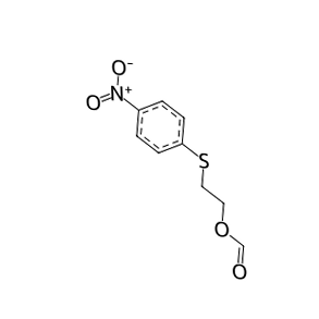 O=COCCSc1ccc([N+](=O)[O-])cc1